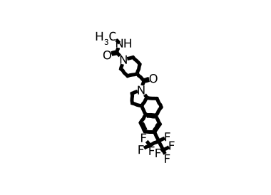 CNC(=O)N1CCC(C(=O)N2CCC3c4ccc(C(F)(C(F)(F)F)C(F)(F)F)cc4CCC32)CC1